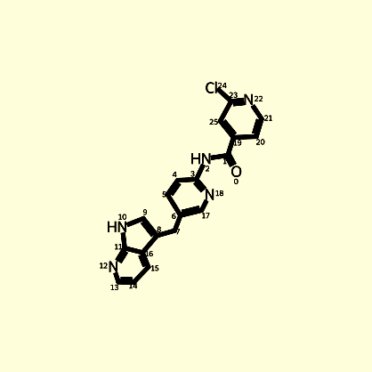 O=C(Nc1ccc(Cc2c[nH]c3ncccc23)cn1)c1ccnc(Cl)c1